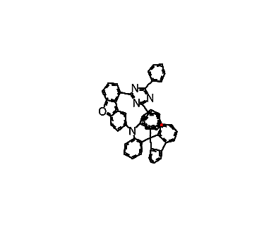 c1ccc(-c2nc(-c3ccccc3)nc(-c3cccc4oc5ccc(N6c7ccccc7C7(c8ccccc8-c8ccccc87)c7ccccc76)cc5c34)n2)cc1